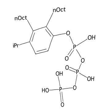 CCCCCCCCc1c(OP(=O)(O)OP(=O)(O)OP(=O)(O)O)ccc(C(C)C)c1CCCCCCCC